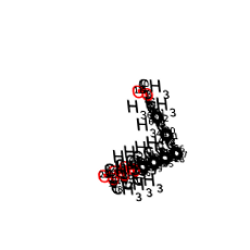 CCOC(C)=O.CCOC(C)=O.CCOC(C)=O.CCOC(C)=O.Cc1ccccc1.Cc1ccccc1.Cc1ccccc1.Cc1ccccc1.Cc1ccccc1.Cc1ccccc1